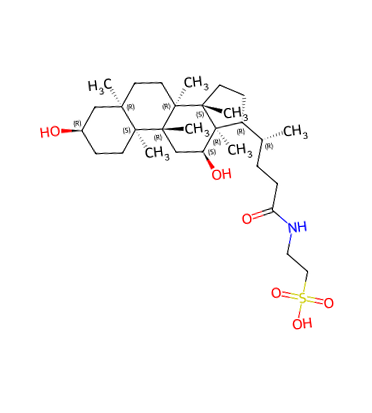 C[C@H](CCC(=O)NCCS(=O)(=O)O)[C@H]1CC[C@]2(C)[C@]1(C)[C@@H](O)C[C@@]1(C)[C@@]2(C)CC[C@]2(C)C[C@H](O)CC[C@@]21C